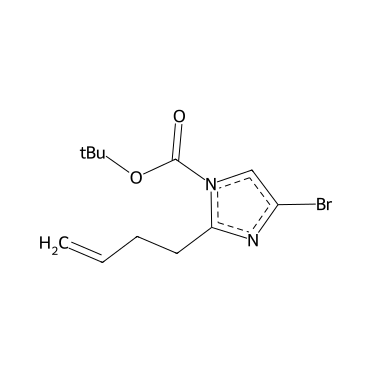 C=CCCc1nc(Br)cn1C(=O)OC(C)(C)C